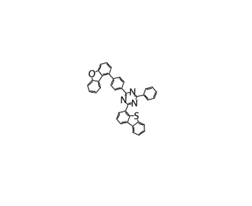 c1ccc(-c2nc(-c3ccc(-c4cccc5oc6ccccc6c45)cc3)nc(-c3cccc4c3sc3ccccc34)n2)cc1